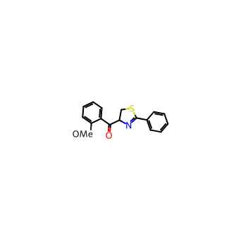 COc1ccccc1C(=O)C1CSC(c2ccccc2)=N1